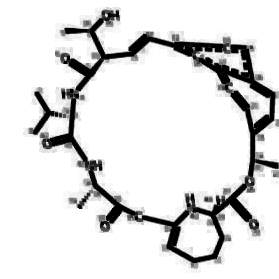 CC(C)[C@@H]1NC(=O)[C@@H]([C@@H](C)O)/C=C/c2ccc3c(c2)=C=CC(=CC=3)[C@@H](C)OC(=O)[C@@H]2CCCC=C(CC(=O)[C@H](C)NC1=O)N2